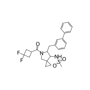 CS(=O)(=O)NC1C(Cc2cccc(-c3ccccc3)c2)N(C(=O)C2CC(F)(F)C2)CC12CC2